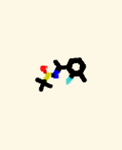 CC(=N[S@+]([O-])C(C)(C)C)c1cccc(C)c1F